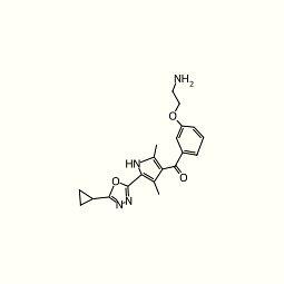 Cc1[nH]c(-c2nnc(C3CC3)o2)c(C)c1C(=O)c1cccc(OCCN)c1